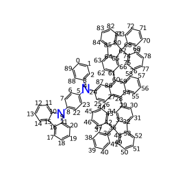 c1ccc(N(c2ccc(-n3c4ccccc4c4ccccc43)cc2)c2ccc3c(-c4ccc5c(c4)C(c4ccccc4)(c4ccccc4)c4ccccc4-5)c4ccccc4c(-c4ccc5c(c4)C(c4ccccc4)(c4ccccc4)c4ccccc4-5)c3c2)cc1